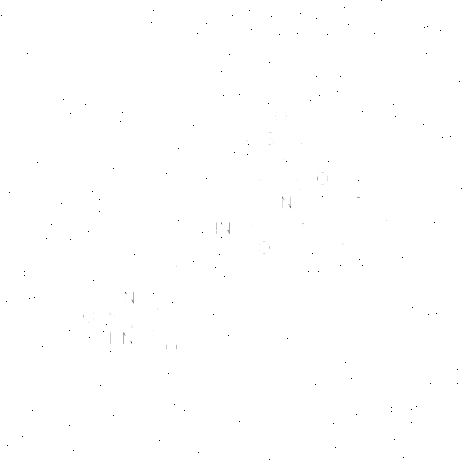 CN1C(=O)NC(=O)C12Cc1ccc(NC(=O)CN(Cc3ccccc3)C(=O)C(C)(C)[S+](C)[O-])cc1C2